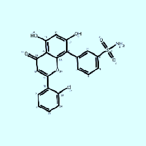 NS(=O)(=O)c1cccc(-c2c(O)cc(O)c3c(=O)cc(-c4ccccc4Cl)oc23)c1